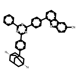 N#Cc1ccc2oc3c(-c4ccc(-c5nc(-c6ccccc6)nc(-c6ccc(C78CC9C[C@H](C7)C[C@@H](C9)C8)cc6)n5)cc4)cccc3c2c1